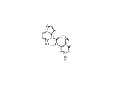 Cc1ccc2[nH]ccc2c1C(=O)Oc1cc(Cl)cnc1C